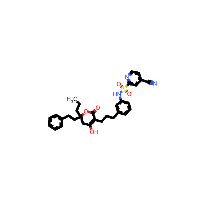 CCCC1(CCc2ccccc2)CC(O)=C(CCCc2cccc(NS(=O)(=O)c3cc(C#N)ccn3)c2)C(=O)O1